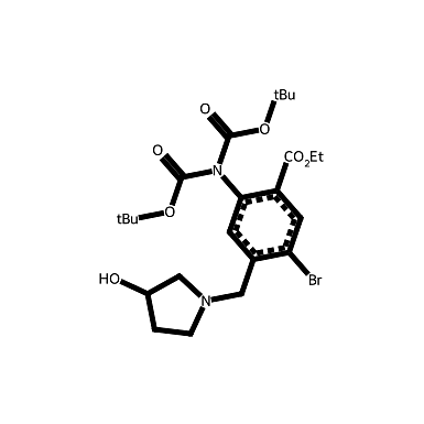 CCOC(=O)c1cc(Br)c(CN2CCC(O)C2)cc1N(C(=O)OC(C)(C)C)C(=O)OC(C)(C)C